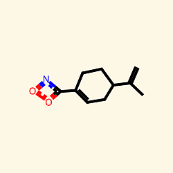 C=C(C)C1CC=C(c2noo2)CC1